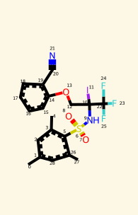 Cc1cc(C)c(S(=O)(=O)NC(I)(COc2ccccc2C#N)C(F)(F)F)c(C)c1